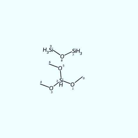 CO[SiH](OC)OC.[SiH3]O[SiH3]